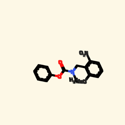 COc1cccc([N+](=O)[O-])c1CN(C)C(=O)Oc1ccccc1